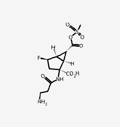 CS(=O)(=O)OC(=O)[C@H]1[C@H]2[C@@H]1[C@](NC(=O)CCN)(C(=O)O)C[C@H]2F